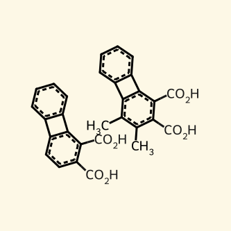 Cc1c(C)c2c(c(C(=O)O)c1C(=O)O)-c1ccccc1-2.O=C(O)c1ccc2c(c1C(=O)O)-c1ccccc1-2